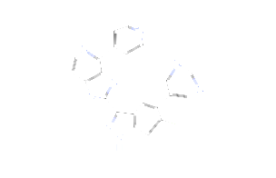 Fc1cc2[nH]nc(-c3nc4c(-c5ccncc5)nccc4[nH]3)c2cc1-c1cncnc1